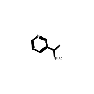 CC(=O)NC(C)c1cccnc1